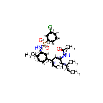 C\C=C(/C=C(\C=C(/C)CC)NC(C)=O)c1ccc(C)c(NS(=O)(=O)c2cccc(Cl)c2)c1